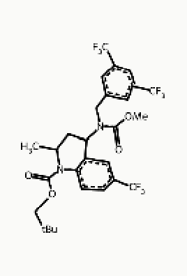 COC(=O)N(Cc1cc(C(F)(F)F)cc(C(F)(F)F)c1)C1CC(C)N(C(=O)OCC(C)(C)C)c2ccc(C(F)(F)F)cc21